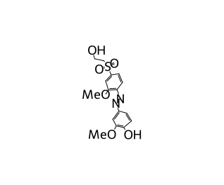 COc1cc(N=Nc2ccc(S(=O)(=O)CCO)cc2OC)ccc1O